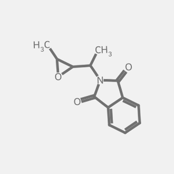 CC1OC1C(C)N1C(=O)c2ccccc2C1=O